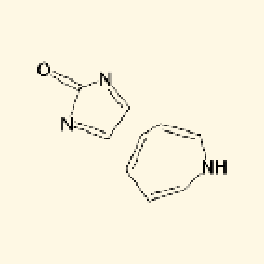 C1=CC=CNC=C1.O=C1N=CC=N1